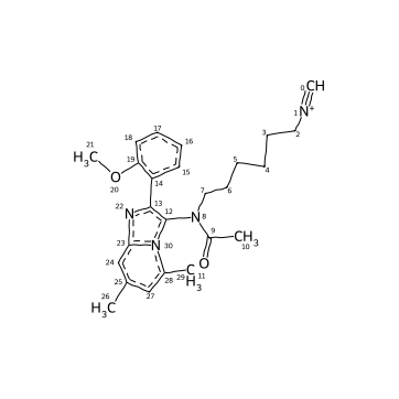 C#[N+]CCCCCCN(C(C)=O)c1c(-c2ccccc2OC)nc2cc(C)cc(C)n12